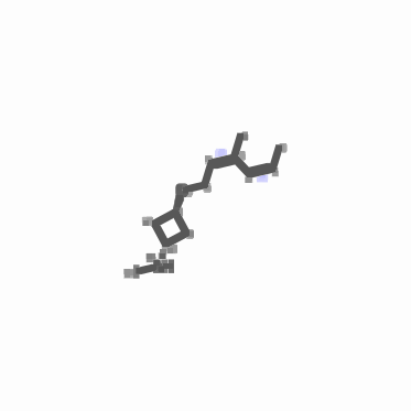 C/C=C\C(C)=C/CO[C@H]1C[C@H](NI)C1